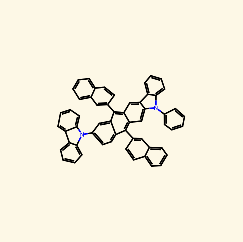 c1ccc(-n2c3ccccc3c3cc4c(-c5ccc6ccccc6c5)c5cc(-n6c7ccccc7c7ccccc76)ccc5c(-c5ccc6ccccc6c5)c4cc32)cc1